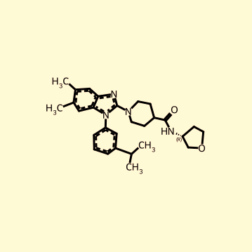 Cc1cc2nc(N3CCC(C(=O)N[C@@H]4CCOC4)CC3)n(-c3cccc(C(C)C)c3)c2cc1C